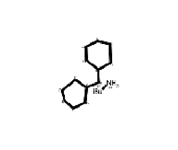 C1CCC(CC2CCCCC2)CC1.CCC(C)N